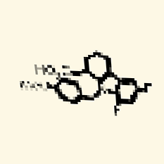 COc1ccc(Cn2c3c(c4cc(F)cc(F)c42)CCCC3CC(=O)O)cc1